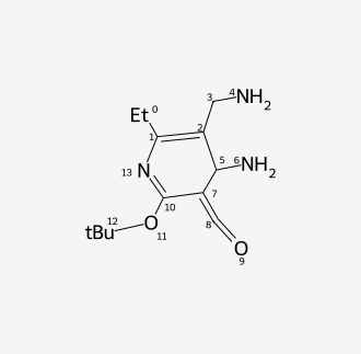 CCC1=C(CN)C(N)C(=C=O)C(OC(C)(C)C)=N1